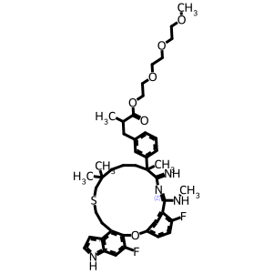 CN/C1=N\C(=N)C(C)(c2cccc(CC(C)C(=O)OCCOCCOCCOC)c2)CCCC(C)(C)CSCCc2c(c(F)cc3[nH]ccc23)Oc2ccc(F)c1c2